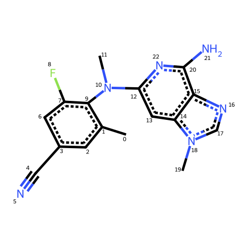 Cc1cc(C#N)cc(F)c1N(C)c1cc2c(ncn2C)c(N)n1